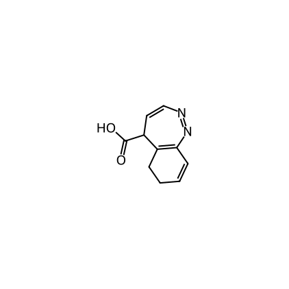 O=C(O)C1C=CN=NC2=C1CCC=C2